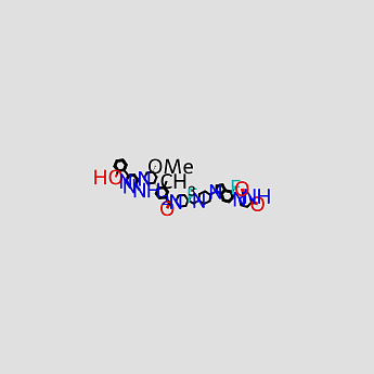 CO[C@@H]1C[C@H](c2ccc(C(=O)N3CCC(F)(CN4CCC(n5ccc6c(F)c(N7CCC(=O)NC7=O)ccc65)CC4)CC3)cc2C)CN(c2cc(-c3ccccc3O)nnc2N)C1